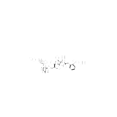 O=C(Cc1ccccc1S(=O)(=O)O)NC1C(=O)N2C(C(=O)O)=C(CSc3nnnn3CCS(=O)(=O)O)CS[C@H]12